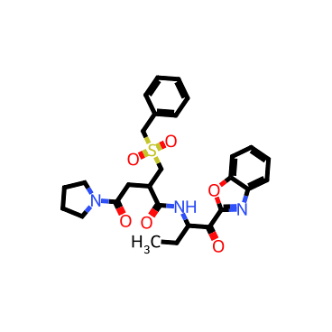 CCC(NC(=O)C(CC(=O)N1CCCC1)CS(=O)(=O)Cc1ccccc1)C(=O)c1nc2ccccc2o1